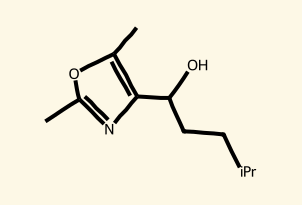 Cc1nc(C(O)CCC(C)C)c(C)o1